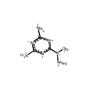 CCCCCN(O)c1nc(N)nc(N)n1